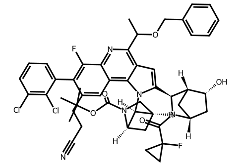 CC(OCc1ccccc1)c1nc2c(F)c(-c3cccc(Cl)c3Cl)c(CCC#N)cc2c2c1cc([C@H]1[C@H]3C[C@H](C[C@H]3O)N1C(=O)C1(F)CC1)n2[C@H]1[C@@H]2C[C@H]1N(C(=O)OC(C)(C)C)C2